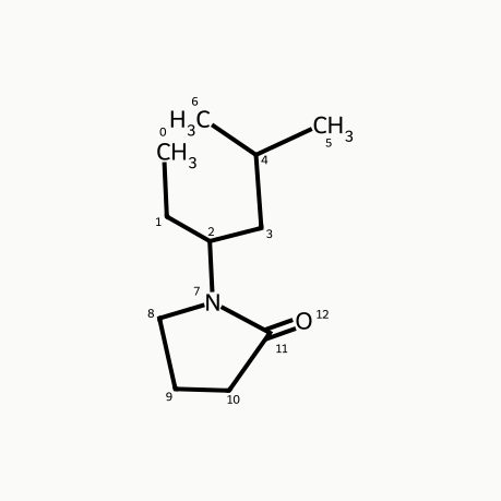 CCC(CC(C)C)N1CCCC1=O